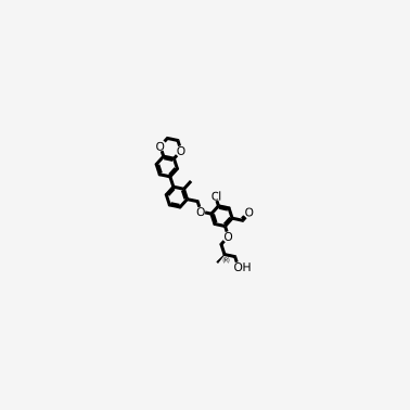 Cc1c(COc2cc(OC[C@H](C)CO)c(C=O)cc2Cl)cccc1-c1ccc2c(c1)OCCO2